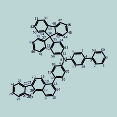 c1ccc(-c2ccc(N(c3ccc(-c4cccc5c4ccc4c6ccccc6sc54)cc3)c3ccc(C4(c5ccccc5)c5ccccc5-c5ccccc54)cc3)cc2)cc1